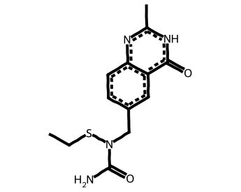 CCSN(Cc1ccc2nc(C)[nH]c(=O)c2c1)C(N)=O